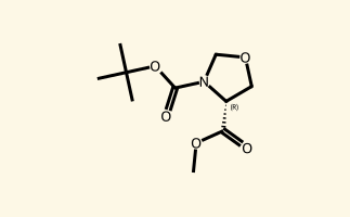 COC(=O)[C@H]1COCN1C(=O)OC(C)(C)C